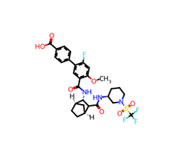 COc1cc(F)c(-c2ccc(C(=O)O)cc2)cc1C(=O)N[C@@H]1C(C(=O)N[C@H]2CCCN(S(=O)(=O)C(F)(F)F)C2)[C@H]2CC[C@@H]1C2